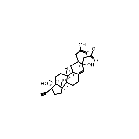 C#C[C@]1(O)CC[C@H]2[C@@H]3CCC4=C[C@](O)(CC(=O)O)C(CC(=O)O)C[C@@H]4[C@H]3CC[C@@]21C